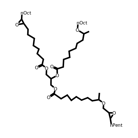 CCCCCCCCOC(C)CCCCCCCC(=O)OC(COC(=O)CCCCCCCC(C)OCC1OC1CCCCC)COC(=O)CCCCCCCC1OC1CCCCCCCC